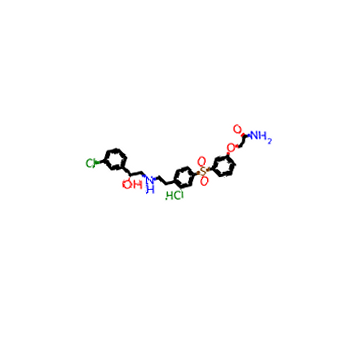 Cl.NC(=O)COc1cccc(S(=O)(=O)c2ccc(CCNC[C@H](O)c3cccc(Cl)c3)cc2)c1